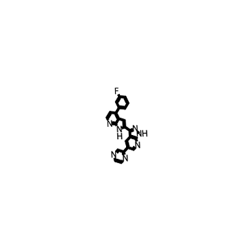 Fc1cccc(-c2ccnc3[nH]c(-c4n[nH]c5ncc(-c6cnccn6)cc45)cc23)c1